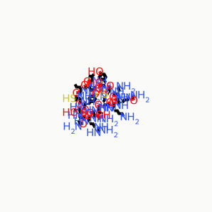 CC[C@H](C)[C@H](NC(=O)[C@@H]1C[C@@H](O)CN1C(=O)[C@@H](N)C(C)C)C(=O)N[C@H](C(=O)N[C@@H](Cc1ccc(O)cc1)C(=O)N[C@@H](CO)C(=O)N[C@@H](CC(N)=O)C(=O)N[C@@H](CCCNC(=N)N)C(=O)N[C@@H](CCN)C(=O)N[C@H](C(=O)N[C@H](CCN)C(=O)N[C@@H](CCCCN)C(=O)N[C@@H](CCCNC(N)=O)C(=O)N[C@@H](CCN)C(=O)N[C@@H](CS)C(=O)N[C@@H](Cc1ccc(O)cc1)C(=O)O)[C@@H](C)O)C(C)(C)S